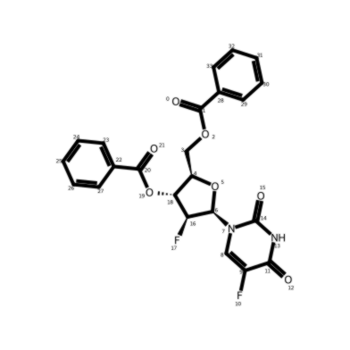 O=C(OC[C@H]1O[C@@H](n2cc(F)c(=O)[nH]c2=O)[C@@H](F)[C@@H]1OC(=O)c1ccccc1)c1ccccc1